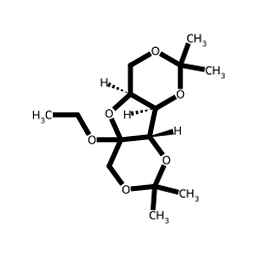 CCOC12COC(C)(C)O[C@H]1[C@@H]1OC(C)(C)OC[C@@H]1O2